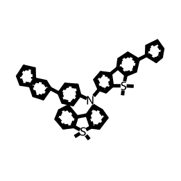 CS1(C)c2cc(-c3ccccc3)ccc2-c2ccc(N(c3ccc(-c4ccc5ccccc5c4)cc3)c3cccc4c3-c3ccccc3S4(C)C)cc21